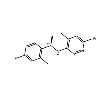 Cc1cc(F)ccc1[C@@H](C)Nc1nnc(C(C)C)cc1C